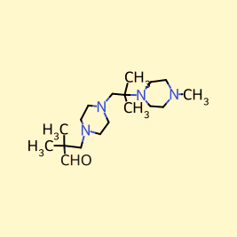 CN1CCN(C(C)(C)CN2CCN(CC(C)(C)C=O)CC2)CC1